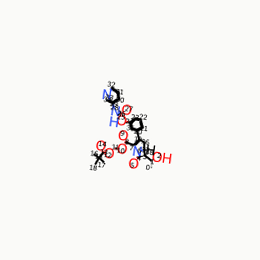 C[C@@H](O)[C@H]1C(=O)N2C(C(=O)OCOC(=O)C(C)(C)C)=C(c3cccc(OC(=O)Nc4cccnc4)c3)C[C@H]12